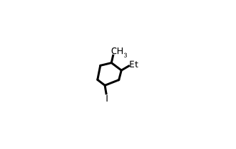 CCC1CC(I)CCC1C